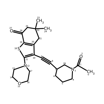 CC(=O)N1CCCC(C#Cc2c(N3CCOCC3)sc3c2CC(C)(C)CC3=O)C1